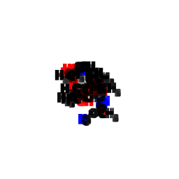 CC[C@H]1OC(=O)[C@H](C)[C@@H](C2C[C@@](C)(OC)[C@@H](O)[C@H](C)O2)[C@H](C)[C@@H](O[C@@H]2O[C@H](C)C[C@H](N(C)CCc3cn(CC(OC)c4ccc(-c5cccnc5)cc4)nn3)[C@H]2O)[C@](C)(O)C[C@@H](C)CN(C)[C@H](C)[C@@H](O)[C@]1(C)O